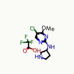 COc1nc(NC2CCNC2)ncc1Cl.O=C(O)C(F)(F)F